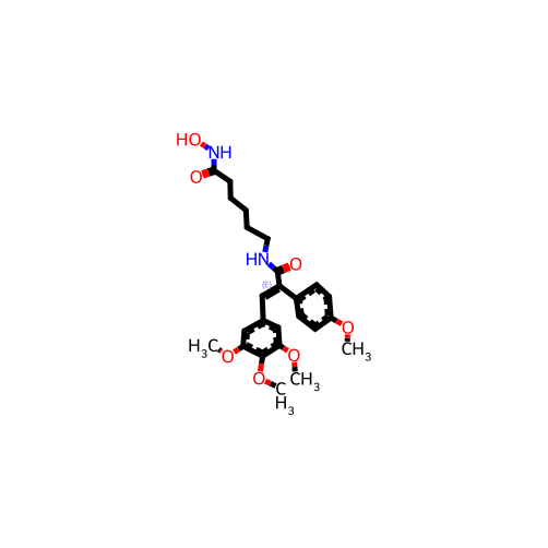 COc1ccc(/C(=C\c2cc(OC)c(OC)c(OC)c2)C(=O)NCCCCCC(=O)NO)cc1